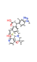 Cc1c(C(CC(=O)O)c2cc(CN3Cc4c(ccnc4O)OC4(CC4)C3)c3sccc3c2)ccc2c1nnn2C